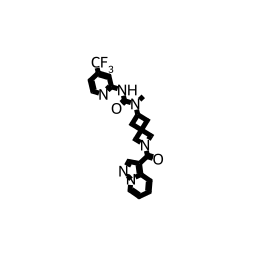 CN(C(=O)Nc1cc(C(F)(F)F)ccn1)C1CC2(C1)CN(C(=O)c1cnn3ccccc13)C2